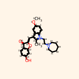 COc1ccc2c(c1)c(/C=C1\Oc3cc(O)ccc3C1=O)c(C)n2CCN1CCCCCC1